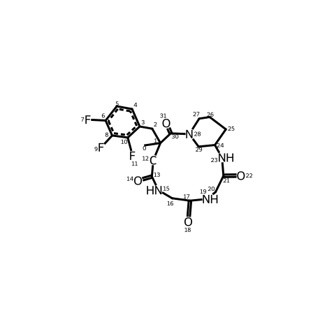 CC1(Cc2ccc(F)c(F)c2F)CC(=O)NCC(=O)NCC(=O)NC2CCCN(C2)C1=O